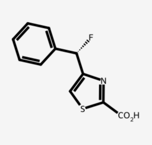 O=C(O)c1nc([C@@H](F)c2ccccc2)cs1